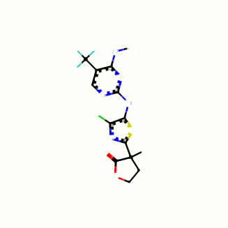 CNc1nc(Nc2sc(C3(C)CCOC3=O)nc2Cl)ncc1C(F)(F)F